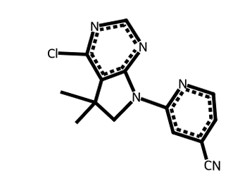 CC1(C)CN(c2cc(C#N)ccn2)c2ncnc(Cl)c21